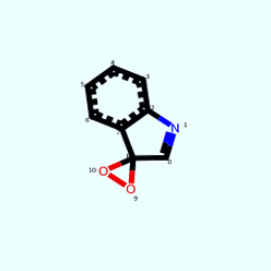 C1=Nc2ccccc2C12OO2